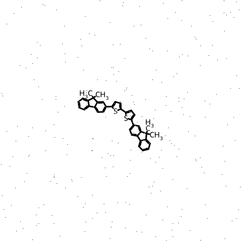 CC1(C)c2ccccc2-c2ccc(-c3ccc(-c4ccc(-c5ccc6c(c5)C(C)(C)c5ccccc5-6)s4)s3)cc21